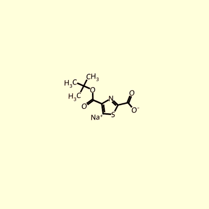 CC(C)(C)OC(=O)c1csc(C(=O)[O-])n1.[Na+]